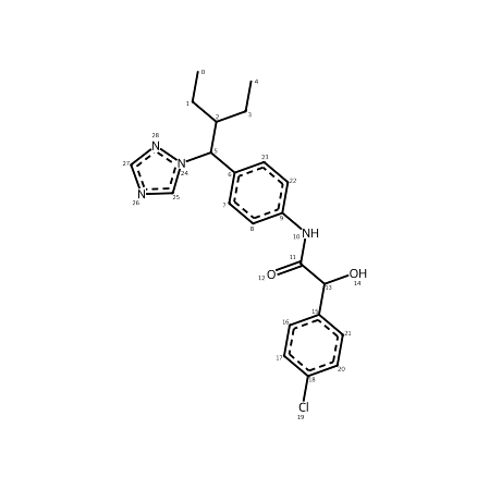 CCC(CC)C(c1ccc(NC(=O)C(O)c2ccc(Cl)cc2)cc1)n1cncn1